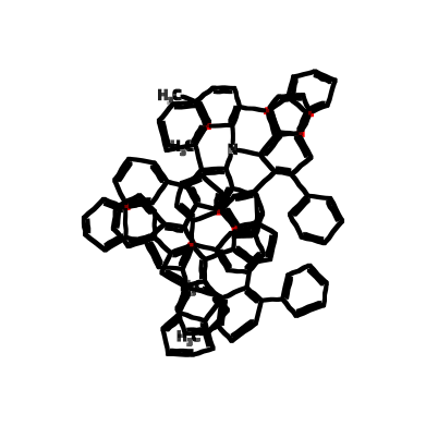 Cc1ccc(-c2ccccc2)c(-c2ccc3c(c2-c2c4c(cc(-c5ccccc5)c2-c2ccccc2)-c2ccccc2C4)-c2c(c(N(c4c(-c5ccccc5)ccc(C)c4C)c4c5c(cc(-c6ccccc6)c4-c4ccccc4)-c4ccccc4C5)c(-c4ccccc4)c(-c4ccccc4)c2-c2c4c(cc(-c5ccccc5)c2-c2ccccc2)-c2ccccc2C4)C3)c1C